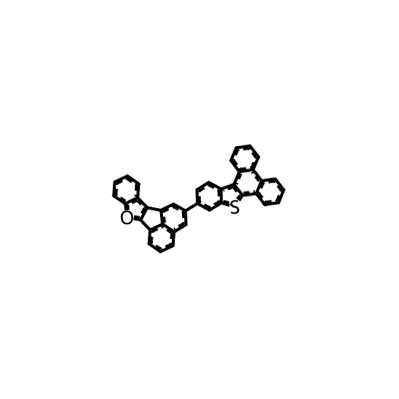 c1cc2c3c(cc(-c4ccc5c(c4)sc4c6ccccc6c6ccccc6c54)cc3c1)-c1c-2oc2ccccc12